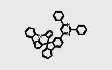 c1ccc(-c2cc(-c3ccc4c(c3)C3(c5ccccc5-4)c4ccccc4-n4c5ccccc5c5cccc3c54)nc(-c3ccccc3)n2)cc1